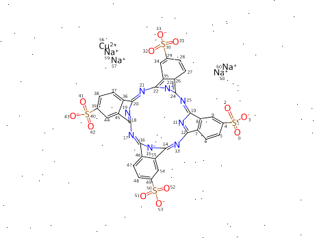 O=S(=O)([O-])c1ccc2c(c1)-c1nc-2nc2[n-]c(nc3nc(nc4[n-]c(n1)c1ccc(S(=O)(=O)[O-])cc41)-c1ccc(S(=O)(=O)[O-])cc1-3)c1ccc(S(=O)(=O)[O-])cc21.[Cu+2].[Na+].[Na+].[Na+].[Na+]